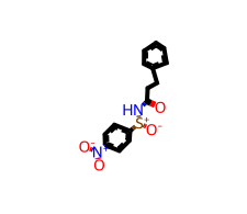 O=C(CCc1ccccc1)N[S+]([O-])c1ccc([N+](=O)[O-])cc1